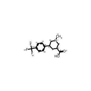 CN1CC(C(=O)O)CC(c2ccc(C(F)(F)F)cc2)C1